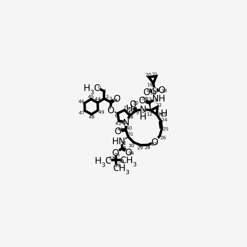 CCC(C(=O)O[C@@H]1C[C@H]2C(=O)N[C@]3(C(=O)NS(=O)(=O)C4CC4)C[C@H]3/C=C\COCCC[C@H](NC(=O)OC(C)(C)C)C(=O)N2C1)C1CCCCC1